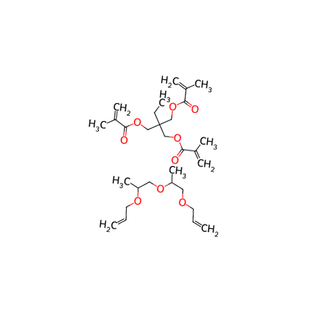 C=C(C)C(=O)OCC(CC)(COC(=O)C(=C)C)COC(=O)C(=C)C.C=CCOCC(C)OCC(C)OCC=C